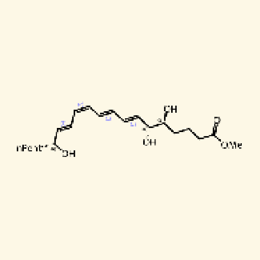 CCCCC[C@@H](O)/C=C/C=C\C=C\C=C\[C@@H](O)[C@@H](O)CCCC(=O)OC